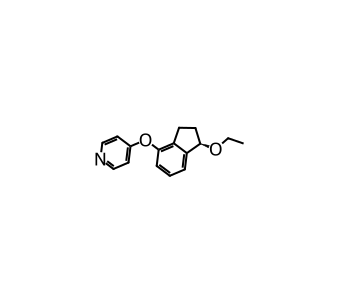 CCO[C@@H]1CCc2c(Oc3ccncc3)cccc21